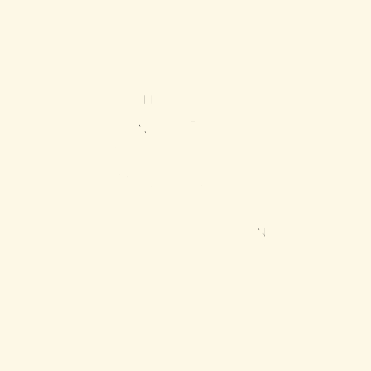 CN(C)/C=C(/Oc1c(F)cccc1C#N)C(=O)c1ccccc1Cl